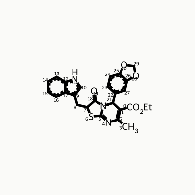 CCOC(=O)C1=C(C)N=C2SC(Cc3c[nH]c4ccccc34)C(=O)N2C1c1ccc2c(c1)OCO2